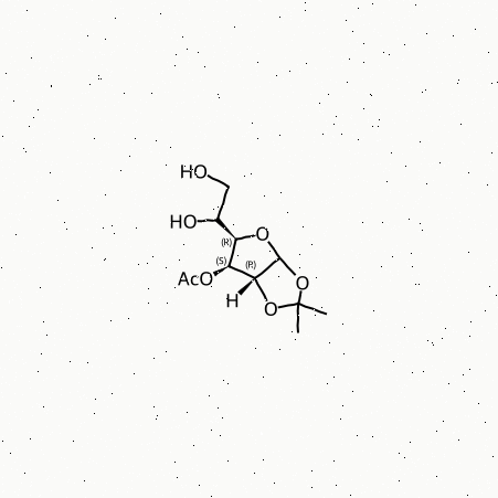 CC(=O)O[C@H]1[C@@H](C(O)CO)OC2OC(C)(C)O[C@@H]21